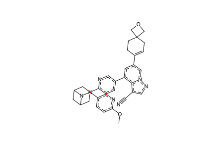 COc1ccc(CN2C3CC2CN(c2ccc(-c4cc(C5=CCC6(CC5)COC6)cn5ncc(C#N)c45)cn2)C3)cn1